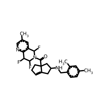 Cc1ccc(CNC2CC3=CCCC3(C(=O)N3C(F)c4cc(C)cnc4C(F)C3F)C2)c(C)c1